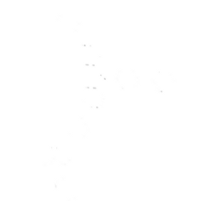 c1ccc(-c2ccc(N(c3ccc(-c4ccccc4)cc3)c3ccc(-c4ccc(-c5cc6c(ccc7ccccc76)o5)cc4)cc3)cc2)cc1